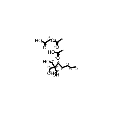 CC(=O)O.CC(=O)O.CC(=O)O.CCCCCC(CO)(CO)CO